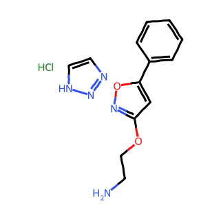 Cl.NCCOc1cc(-c2ccccc2)on1.c1c[nH]nn1